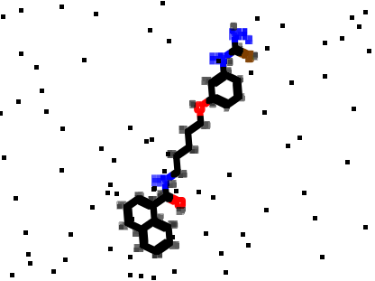 NC(=S)Nc1cccc(OCCCCCNC(=O)c2cccc3ccccc23)c1